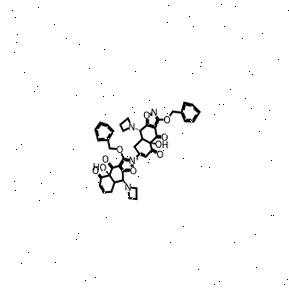 O=C1C=C([n+]2oc3c(c2OCc2ccccc2)C(=O)[C@@]2(O)C(=O)C=CCC2[C@@H]3N2CCC2)CC2[C@H](N3CCC3)c3onc(OCc4ccccc4)c3C(=O)[C@]12O